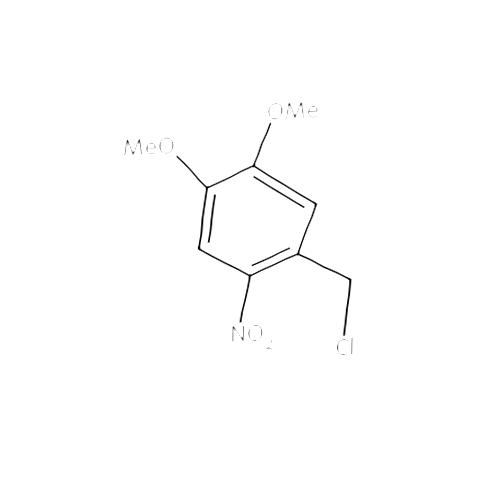 COc1cc(CCl)c([N+](=O)[O-])cc1OC